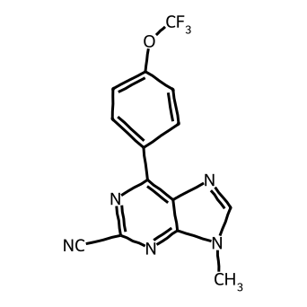 Cn1cnc2c(-c3ccc(OC(F)(F)F)cc3)nc(C#N)nc21